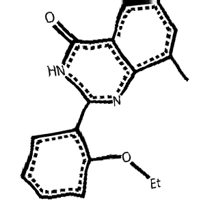 CCOc1ccccc1-c1nc2c(C)cccc2c(=O)[nH]1